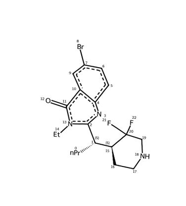 CCC[C@H](c1nc2ccc(Br)cc2c(=O)n1CC)[C@@H]1CCNCC1(F)F